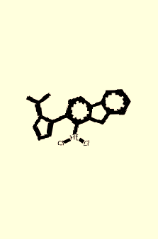 CC(C)=C1C=CC=C1c1ccc2c([c]1[Hf]([Cl])[Cl])Cc1ccccc1-2